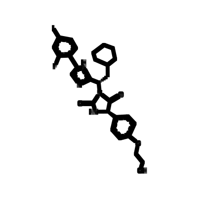 O=C1N[C@H](c2ccc(OCCO)cc2)C(=O)N1[C@@H](CC1CCCCC1)c1ncc(-c2ccc(I)cc2F)[nH]1